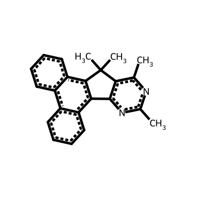 Cc1nc(C)c2c(n1)-c1c(c3ccccc3c3ccccc13)C2(C)C